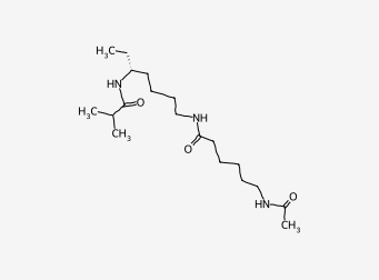 CC[C@H](CCCCNC(=O)CCCCCNC(C)=O)NC(=O)C(C)C